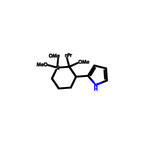 CCCC1(OC)C(c2ccc[nH]2)CCC[Si]1(OC)OC